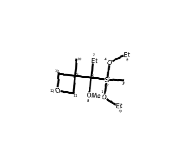 CCO[Si](C)(OCC)C(CC)(OC)C1(C)COC1